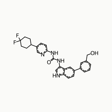 O=C(Nc1ccc(C2CCC(F)(F)CC2)cn1)Nc1c[nH]c2ccc(-c3cccc(CO)c3)cc12